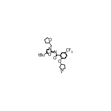 CN1CC[C@H](Oc2ccc(C(F)(F)F)cc2C(=O)/N=c2\oc(C(C)(C)C)cn2C[C@H]2CCCO2)C1